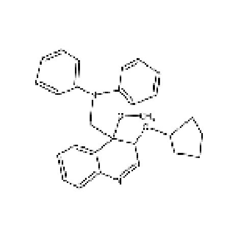 COC1(CN(c2ccccc2)c2ccccc2)c2ccccc2N=CC1OC1CCCC1